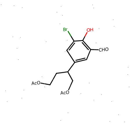 CC(=O)OCCC(COC(C)=O)c1cc(Br)c(O)c(C=O)c1